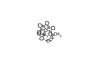 Cc1cc2cc(C)c1N1c3ccccc3B3c4ccccc4N4c5ccccc5B5c6ccccc6N(c6cc1c3c4c65)c1c(-c3ccccc3)cccc1-c1ccc-2cc1